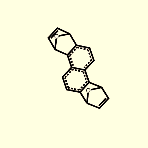 C1=CC2OC1c1ccc3c4c(ccc3c12)C1C=CC4O1